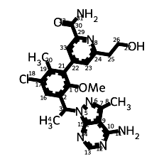 COc1c(C(C)n2nc(C)c3c(N)ncnc32)cc(Cl)c(C)c1-c1cc(CCO)nc(C(N)=O)c1